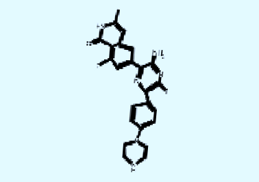 Cc1cc2cc(-c3nc(-c4ccc(N5CCNCC5)cc4)c(F)nc3N)cc(F)c2c(=O)[nH]1